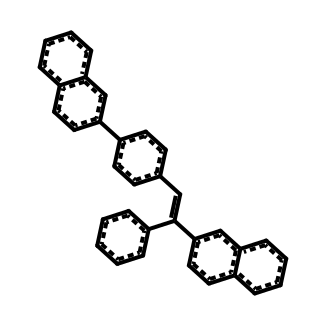 C(=C(c1ccccc1)c1ccc2ccccc2c1)c1ccc(-c2ccc3ccccc3c2)cc1